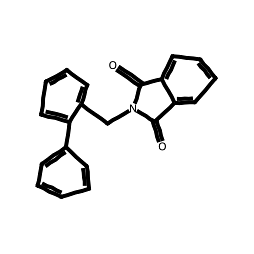 O=C1c2ccccc2C(=O)N1Cc1ccccc1-c1ccccc1